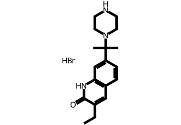 Br.CCc1cc2ccc(C(C)(C)N3CCNCC3)cc2[nH]c1=O